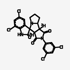 [2H]C12C(=O)N(c3cc(Cl)cc(Cl)c3)C(=O)C1([2H])C1(C(=O)Nc3c(Cl)cc(Cl)cc31)N1CCCC12